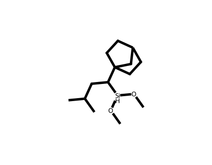 CO[SiH](OC)C(CC(C)C)C12CCC(CC1)C2